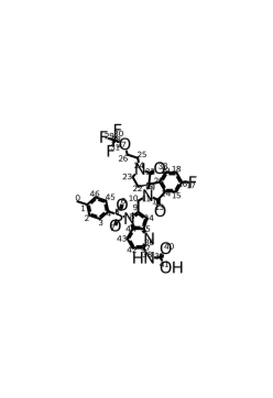 Cc1ccc(S(=O)(=O)n2c(CN3C(=O)c4cc(F)ccc4[C@]34CCN(CCOC(F)(F)F)C4=O)cc3nc(NC(=O)O)ccc32)cc1